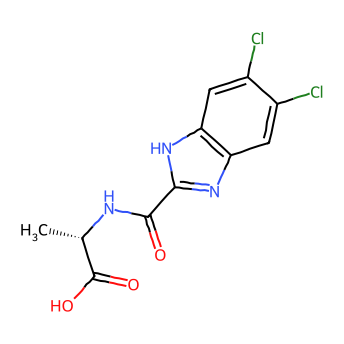 C[C@H](NC(=O)c1nc2cc(Cl)c(Cl)cc2[nH]1)C(=O)O